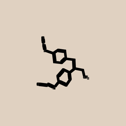 CCC(=Cc1ccc(N=C=O)cc1)c1ccc(N=C=O)cc1